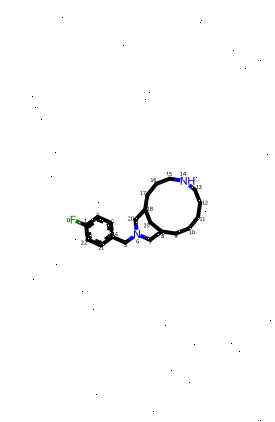 Fc1ccc(CN2CC3CCCCCNCCCC(C3)C2)cc1